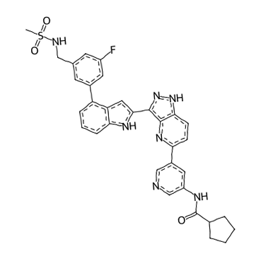 CS(=O)(=O)NCc1cc(F)cc(-c2cccc3[nH]c(-c4n[nH]c5ccc(-c6cncc(NC(=O)C7CCCC7)c6)nc45)cc23)c1